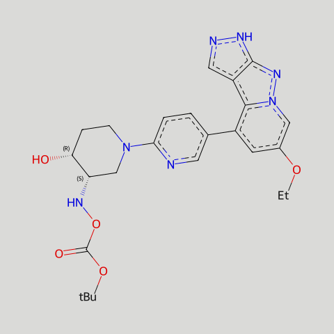 CCOc1cc(-c2ccc(N3CC[C@@H](O)[C@@H](NOC(=O)OC(C)(C)C)C3)nc2)c2c3cn[nH]c3nn2c1